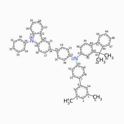 Cc1cc(C)cc(-c2ccc(N(c3ccc(-c4ccc5c(c4)c4ccccc4n5-c4ccccc4)cc3)c3ccc4c(c3)C(C)(C)c3ccccc3-4)cc2)c1